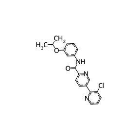 CC(C)Oc1cccc(NC(=O)c2ccc(-c3ncccc3Cl)cn2)c1